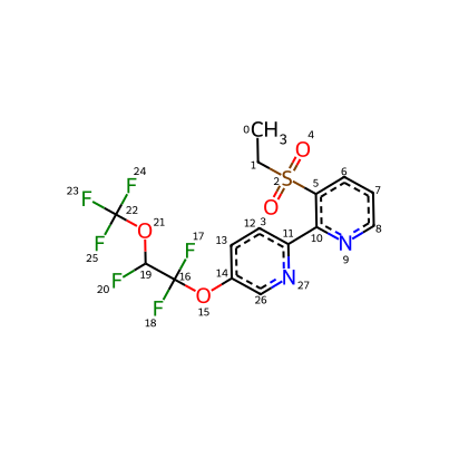 CCS(=O)(=O)c1cccnc1-c1ccc(OC(F)(F)C(F)OC(F)(F)F)cn1